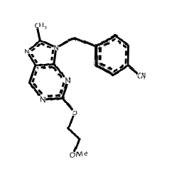 COCCOc1ncc2nc(C)n(Cc3ccc(C#N)cc3)c2n1